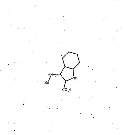 CC(C)(C)NC1C(C(=O)O)NC2CCCCC21